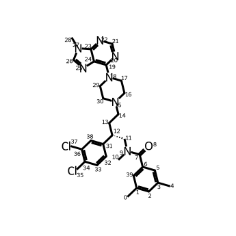 Cc1cc(C)cc(C(=O)N(C)C[C@@H](CCN2CCN(c3ncnc4c3ncn4C)CC2)c2ccc(Cl)c(Cl)c2)c1